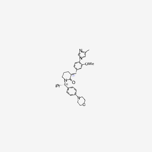 COc1cc(/C=C2\CCCN([C@H](c3ccc(N4CCOCC4)cc3)C(C)C)C2=O)ccc1-n1cnc(C)c1